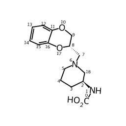 O=C(O)N[C@H]1CCCN(C[C@H]2COc3ccccc3O2)C1